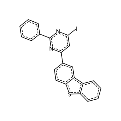 Ic1cc(-c2ccc3sc4ccccc4c3c2)nc(-c2ccccc2)n1